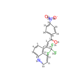 O=C(/C=C(/c1cccc2ncccc12)C(F)(F)F)c1ccc([N+](=O)[O-])cc1